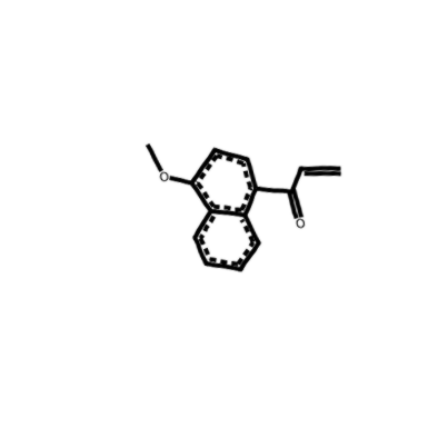 C=CC(=O)c1ccc(OC)c2ccccc12